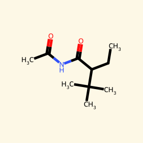 CCC(C(=O)NC(C)=O)C(C)(C)C